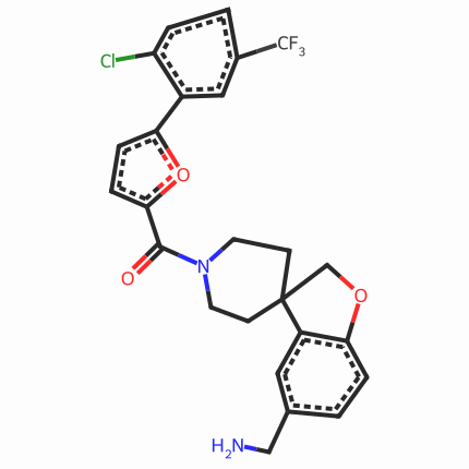 NCc1ccc2c(c1)C1(CCN(C(=O)c3ccc(-c4cc(C(F)(F)F)ccc4Cl)o3)CC1)CO2